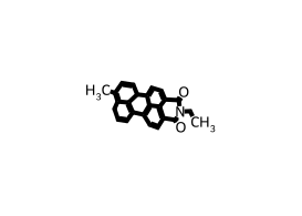 CCN1C(=O)c2ccc3c4c(ccc(c24)C1=O)C1C=CC(C)=C2CC=CC3=C21